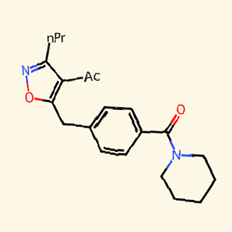 CCCc1noc(Cc2ccc(C(=O)N3CCCCC3)cc2)c1C(C)=O